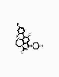 O=c1nc(N2CCNCC2)c2cc(Cl)c(-c3ccc(F)cc3F)c3c2n1CCCS3